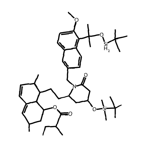 CCC(C)C(=O)OC1CC(C)C=C2C=CC(C)C(CCC3CC(O[Si](C)(C)C(C)(C)C)CC(=O)N3Cc3ccc4c(C(C)(C)O[SiH2]C(C)(C)C)c(OC)ccc4c3)C21